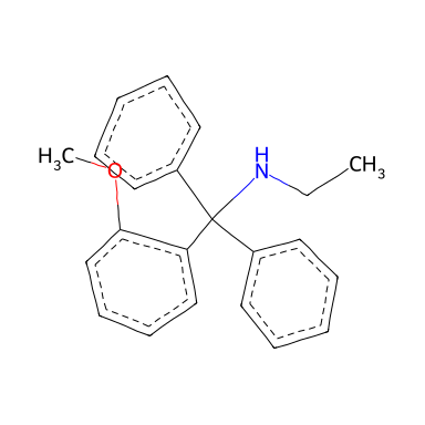 CCNC(c1ccccc1)(c1ccccc1)c1ccccc1OC